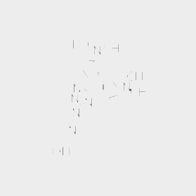 CN(C)c1ccc(-c2nnc(N3CCN(CCO)CC3)nc2-c2ccc(N(C)C)cc2)cc1